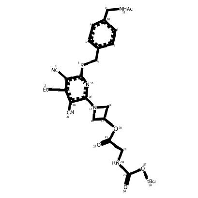 CCc1c(C#N)c(SCc2ccc(CNC(C)=O)cc2)nc(N2CC(OC(=O)CNC(=O)OC(C)(C)C)C2)c1C#N